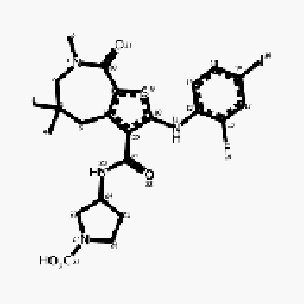 CN1CC(C)(C)Cc2c(sc(Nc3ccc(I)cc3F)c2C(=O)NC2CCN(C(=O)O)C2)C1=O